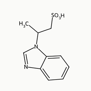 CC(CS(=O)(=O)O)n1cnc2ccccc21